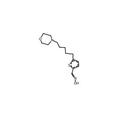 O/N=C/c1ccc(CCCCCN2CCOCC2)s1